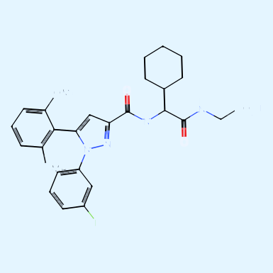 COc1cccc(OC)c1-c1cc(C(=O)NC(C(=O)NCC(=O)O)C2CCCCC2)nn1-c1cccc(F)c1